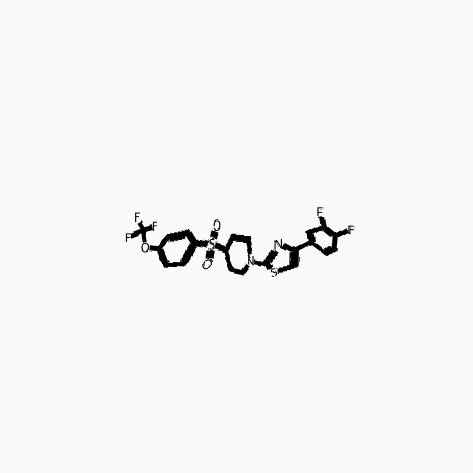 O=S(=O)(c1ccc(OC(F)(F)F)cc1)C1CCN(c2nc(-c3ccc(F)c(F)c3)cs2)CC1